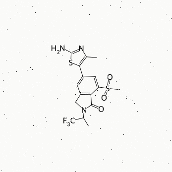 Cc1nc(N)sc1-c1cc2c(c(S(C)(=O)=O)c1)C(=O)N(C(C)C(F)(F)F)C2